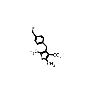 Cc1sc(C)c(C(=O)O)c1Cc1ccc(CF)cc1